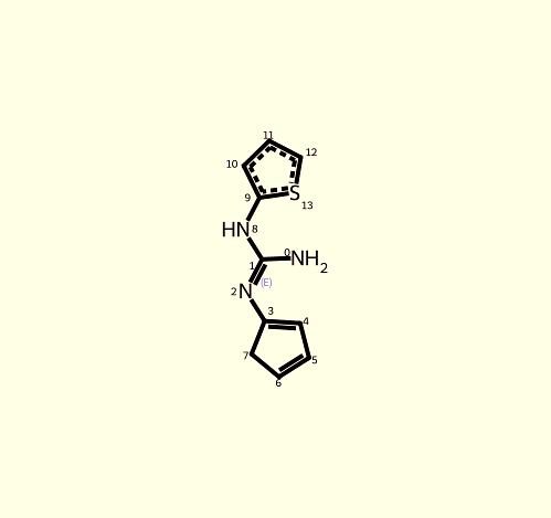 N/C(=N\C1=CC=CC1)Nc1cccs1